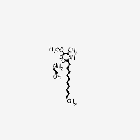 CCCCCCCCCCCC(=O)N[C@@H](C)C(=O)OC.NCCO